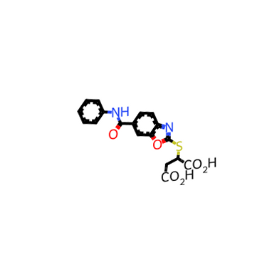 O=C(O)CC(Sc1nc2ccc(C(=O)Nc3ccccc3)cc2o1)C(=O)O